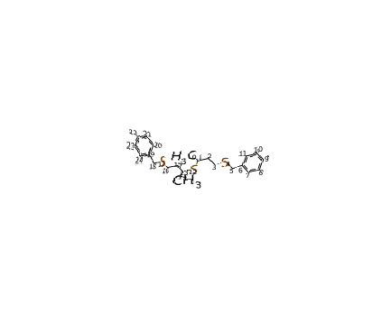 CC(CCSCc1ccccc1)SC(C)CCSCc1ccccc1